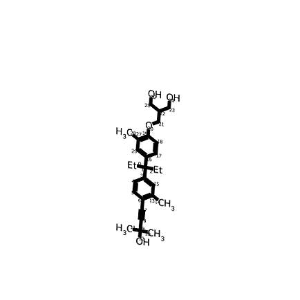 CCC(CC)(c1ccc(C#CC(C)(C)O)c(C)c1)c1ccc(OCC(CO)CO)c(C)c1